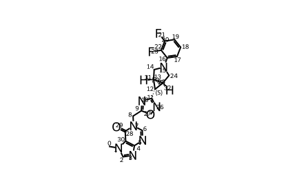 Cn1cnc2ncn(Cc3nc([C@@H]4[C@@H]5CN(c6cccc(F)c6F)C[C@@H]54)no3)c(=O)c21